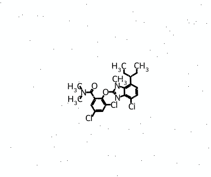 CCC(CC)c1ccc(Cl)c2nc(Oc3c(Cl)cc(Cl)cc3C(=O)N(C)C)n(C)c12